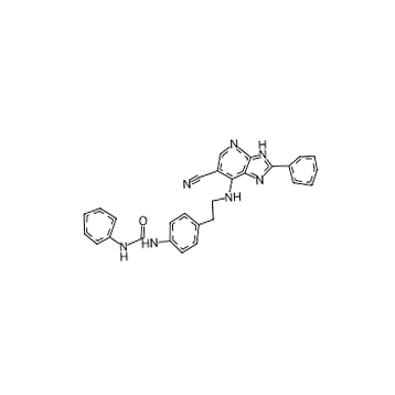 N#Cc1cnc2[nH]c(-c3ccccc3)nc2c1NCCc1ccc(NC(=O)Nc2ccccc2)cc1